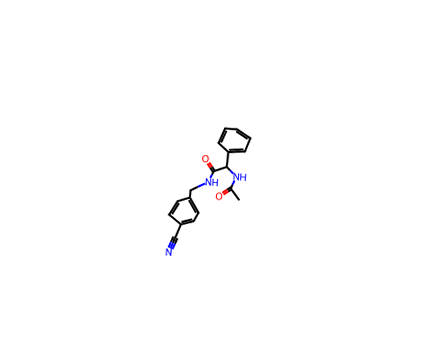 CC(=O)NC(C(=O)NCc1ccc(C#N)cc1)c1ccccc1